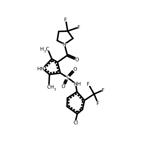 Cc1[nH]c(C)c(S(=O)(=O)Nc2ccc(Cl)cc2C(F)(F)F)c1C(=O)N1CCC(F)(F)C1